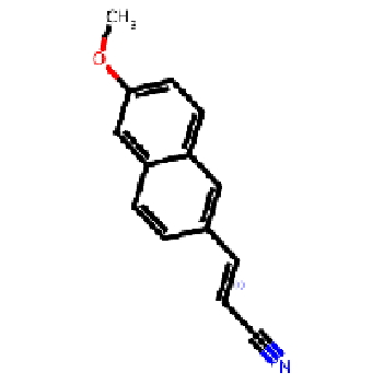 COc1ccc2cc(/C=C/C#N)ccc2c1